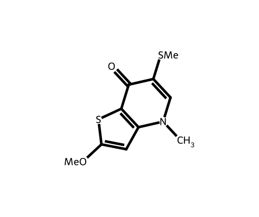 COc1cc2c(s1)c(=O)c(SC)cn2C